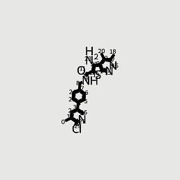 Cc1cc(-c2ccc(CNC(=O)c3sc4nnc(C)c(C)c4c3N)cc2)cnc1Cl